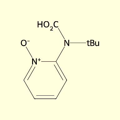 CC(C)(C)N(C(=O)O)c1cccc[n+]1[O-]